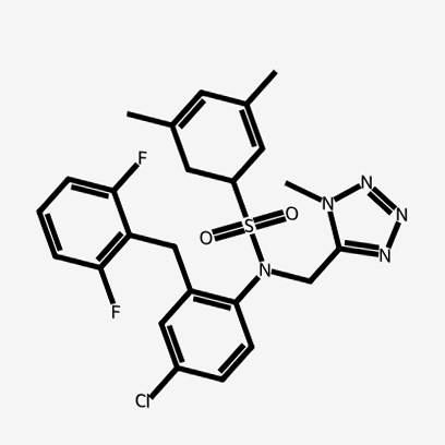 CC1=CC(S(=O)(=O)N(Cc2nnnn2C)c2ccc(Cl)cc2Cc2c(F)cccc2F)CC(C)=C1